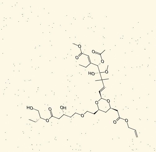 C=CCOC(=O)C[C@H]1C[C@@H](CCOCC[C@@H](O)CC(=O)O[C@H](CC)CO)O[C@@H](/C=C/C(C)(C)[C@](O)(OC)[C@@H](OC(C)=O)/C(=C/C(=O)OC)CC)O1